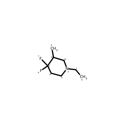 CCN1CCC(F)(F)C(C)C1